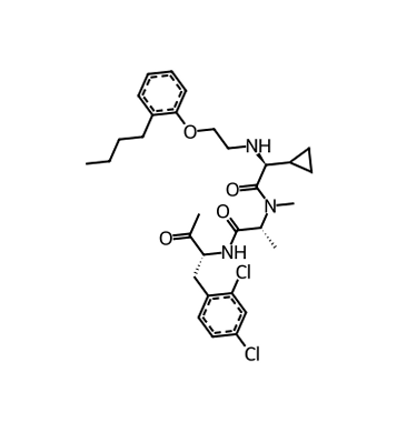 CCCCc1ccccc1OCCN[C@H](C(=O)N(C)[C@H](C)C(=O)N[C@H](Cc1ccc(Cl)cc1Cl)C(C)=O)C1CC1